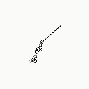 CCCCCCCCCCCCCCCCCCOc1ccc(C(=O)Oc2ccc(-c3ccc(C(=O)OCC(C)CC)cc3)cc2)cc1